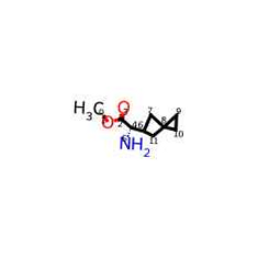 COC(=O)[C@@H](N)C1CC2(CC2)C1